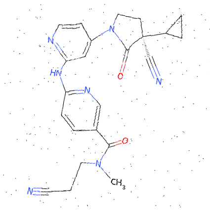 CN(CCC#N)C(=O)c1ccc(Nc2cc(N3CC[C@@](C#N)(C4CC4)C3=O)ccn2)nc1